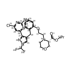 CC(C)OC(=O)[C@@H]1COCCN1CCOc1ccccc1Cc1cn(C(F)F)nc1-c1cc(Cl)nc(N)n1